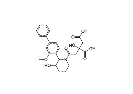 COc1cc(-c2ccccc2)ccc1C1C(O)CCCN1C(=O)CC(O)(CC(=O)O)C(=O)O